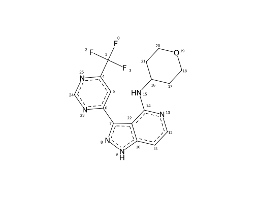 FC(F)(F)c1cc(-c2n[nH]c3ccnc(NC4CCOCC4)c23)ncn1